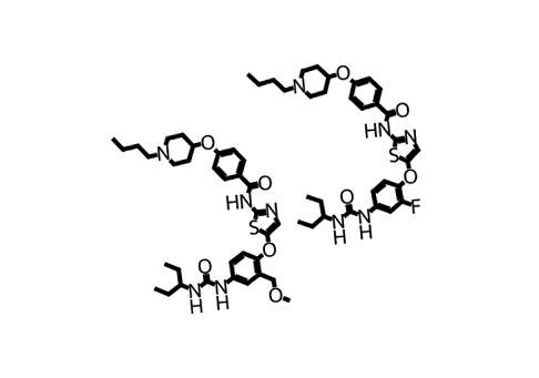 CCCCN1CCC(Oc2ccc(C(=O)Nc3ncc(Oc4ccc(NC(=O)NC(CC)CC)cc4COC)s3)cc2)CC1.CCCCN1CCC(Oc2ccc(C(=O)Nc3ncc(Oc4ccc(NC(=O)NC(CC)CC)cc4F)s3)cc2)CC1